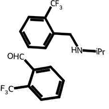 CC(C)NCc1ccccc1C(F)(F)F.O=Cc1ccccc1C(F)(F)F